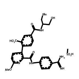 COc1ccc(-c2ccc(C(=O)NC(CO)CC(C)(C)C)cc2C(=O)O)c(C(=O)Nc2ccc(C(=N)N)cc2)n1.CS(=O)(=O)O